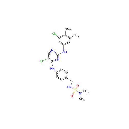 COc1c(C)cc(Nc2ncc(Cl)c(Nc3ccc(CNS(=O)(=O)N(C)C)cc3)n2)cc1Cl